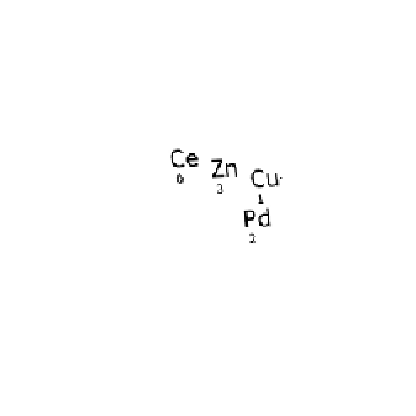 [Ce].[Cu].[Pd].[Zn]